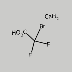 O=C(O)C(F)(F)Br.[CaH2]